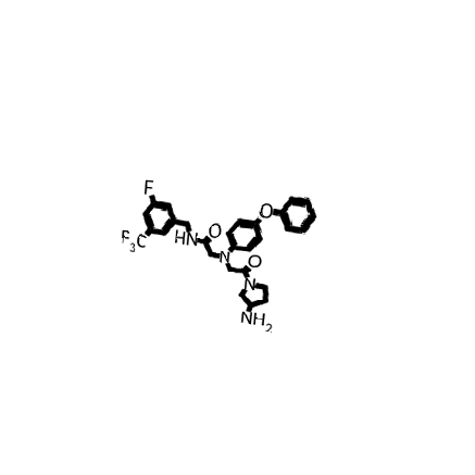 NC1CCN(C(=O)CN(CC(=O)NCc2cc(F)cc(C(F)(F)F)c2)c2ccc(Oc3ccccc3)cc2)C1